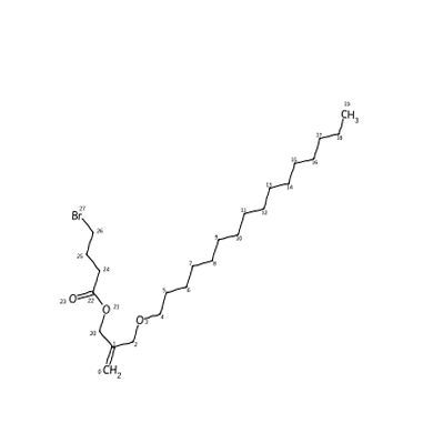 C=C(COCCCCCCCCCCCCCCCC)COC(=O)CCCBr